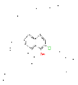 Oc1c(Cl)c[c]c2ccccc12